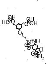 NS(=O)(=O)c1cc2c(cc1Cl)NCN(CCCCOc1cc(CON(O)O)cc(CON(O)O)c1)S2(=O)=O